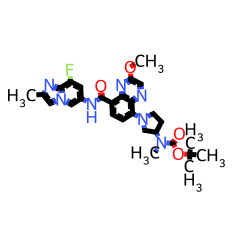 COc1cnc2c(N3CCC(N(C)C(=O)OC(C)(C)C)C3)ccc(C(=O)Nc3cc(F)c4nc(C)cn4c3)c2n1